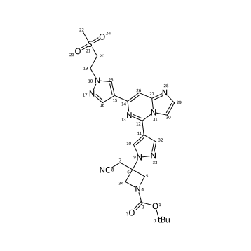 CC(C)(C)OC(=O)N1CC(CC#N)(n2cc(-c3nc(-c4cnn(CCS(C)(=O)=O)c4)cc4nccn34)cn2)C1